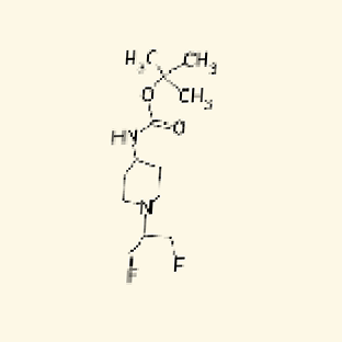 CC(C)(C)OC(=O)NC1CCN(C(CF)CF)CC1